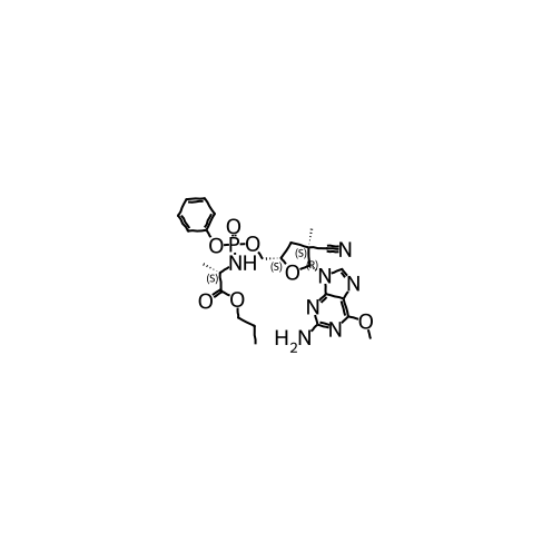 CCCOC(=O)[C@H](C)NP(=O)(OC[C@@H]1C[C@@](C)(C#N)[C@H](n2cnc3c(OC)nc(N)nc32)O1)Oc1ccccc1